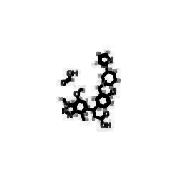 COc1cc(C(CC(=O)O)c2ccc(Cl)c(CN3CCCC(n4cccn4)C3)c2)c(C)c2nnn(C)c12.O=CO